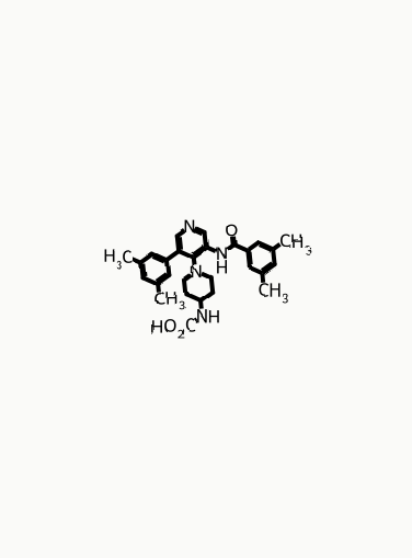 Cc1cc(C)cc(C(=O)Nc2cncc(-c3cc(C)cc(C)c3)c2N2CCC(NC(=O)O)CC2)c1